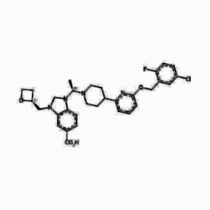 C[C@@H](N1CCC(c2cccc(OCc3cc(Cl)ccc3F)n2)CC1)N1CN(C[C@@H]2CCO2)c2cc(C(=O)O)ccc21